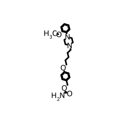 COc1ccccc1N1CCN(CCCCCOc2ccc(COC(N)=O)cc2)CC1